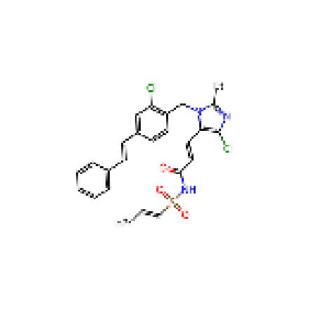 CCCC=CS(=O)(=O)NC(=O)C=Cc1c(Cl)nc(CC)n1Cc1ccc(C=Cc2ccccc2)cc1Cl